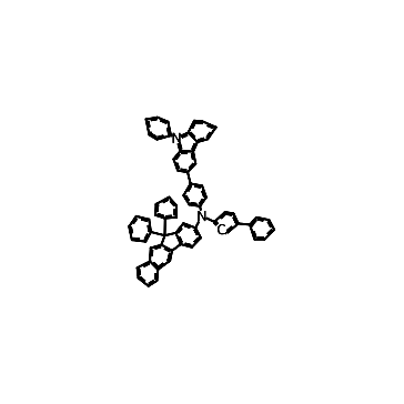 c1ccc(-c2ccc(N(c3ccc(-c4ccc5c(c4)c4ccccc4n5-c4ccccc4)cc3)c3ccc4c(c3)C(c3ccccc3)(c3ccccc3)c3cc5ccccc5cc3-4)cc2)cc1